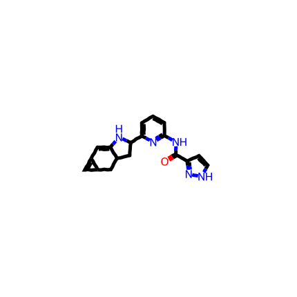 O=C(Nc1cccc(C2CC3CC4C=C4C=C3N2)n1)c1cc[nH]n1